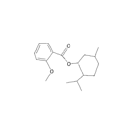 COc1ccccc1C(=O)OC1CC(C)CCC1C(C)C